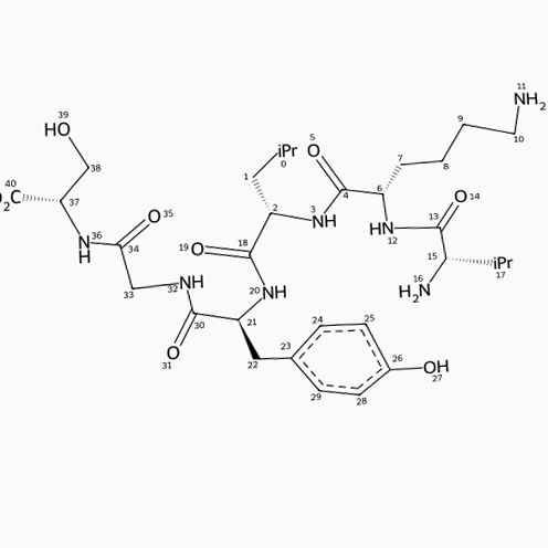 CC(C)C[C@H](NC(=O)[C@H](CCCCN)NC(=O)[C@@H](N)C(C)C)C(=O)N[C@@H](Cc1ccc(O)cc1)C(=O)NCC(=O)N[C@@H](CO)C(=O)O